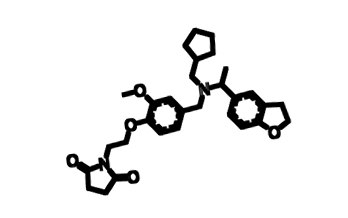 COc1cc(CN(CC2CCCC2)C(C)c2ccc3c(c2)CCO3)ccc1OCCN1C(=O)CCC1=O